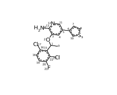 CC(Oc1cc(-c2ccsc2)cnc1N)c1c(Cl)ccc(F)c1Cl